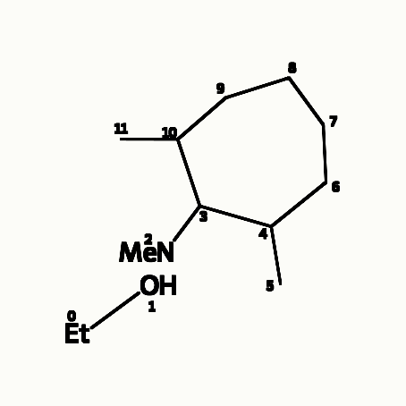 CCO.CNC1C(C)CCCCC1C